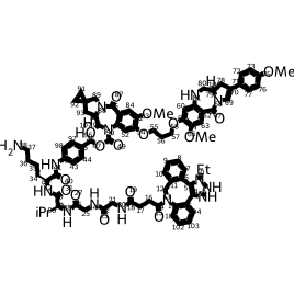 CCN1NNC2=C1c1ccccc1CN(C(=O)CCC(=O)NCC(=O)NCC(=O)N[C@H](C(=O)N[C@@H](CCCCN)C(=O)Nc1ccc(COC(=O)N3c4cc(OCCCOc5cc6c(cc5OC)C(=O)N5C=C(c7ccc(OC)cc7)C[C@H]5CN6)c(OC)cc4C(=O)N4CC5(CC5)C[C@H]4C3O)cc1)C(C)C)c1ccccc12